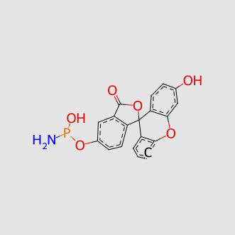 NP(O)Oc1ccc2c(c1)C(=O)OC21c2ccccc2Oc2cc(O)ccc21